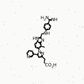 Cc1c(-n2nc(CCC(=O)O)cc2-c2cccnc2)ccc2[nH]c(CNc3ccc(C(=N)N)cc3)nc12